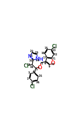 Clc1ccc(C(OCc2coc3cc(Cl)ccc23)C(Cl)c2ncc[nH]2)cc1